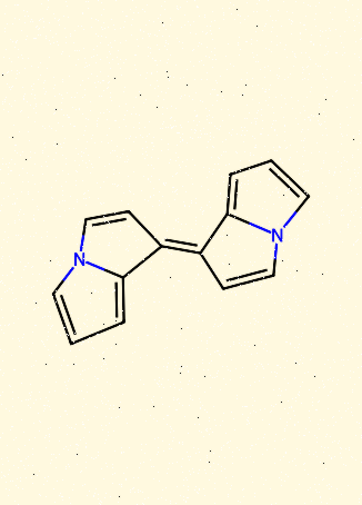 c1cc2c(=c3ccn4cccc34)ccn2c1